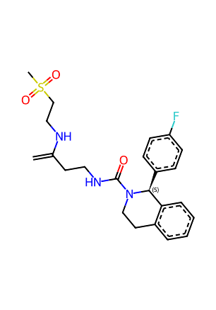 C=C(CCNC(=O)N1CCc2ccccc2[C@@H]1c1ccc(F)cc1)NCCS(C)(=O)=O